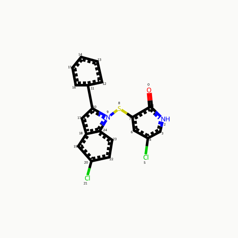 O=c1[nH]cc(Cl)cc1Sn1c(-c2ccccc2)cc2cc(Cl)ccc21